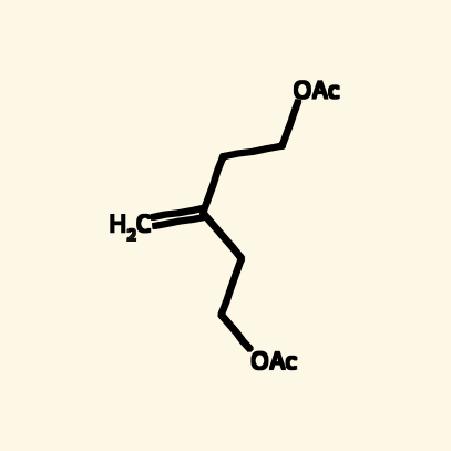 C=C(CCOC(C)=O)CCOC(C)=O